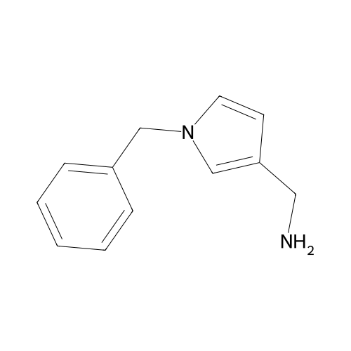 NCc1ccn(Cc2ccccc2)c1